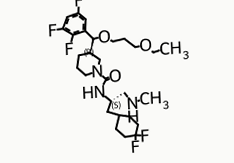 CCOCCCOC(c1cc(F)cc(F)c1F)[C@@H]1CCCN(C(=O)N[C@H](CNC)CC2CCC(F)(F)CC2)C1